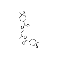 CC(CCOC(=O)C1CCC2(C)SC2C1)OC(=O)C1CCC2(C)SC2C1